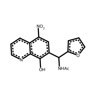 CC(=O)NC(c1ccco1)c1cc([N+](=O)[O-])c2cccnc2c1O